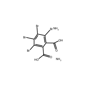 N.N.O=C(O)c1c(Br)c(Br)c(Br)c(Br)c1C(=O)O